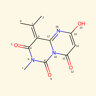 CC(C)=c1c(=O)n(C)c(=O)n2c(=O)cc(O)nc12